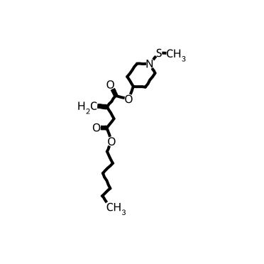 C=C(CC(=O)OCCCCCC)C(=O)OC1CCN(SC)CC1